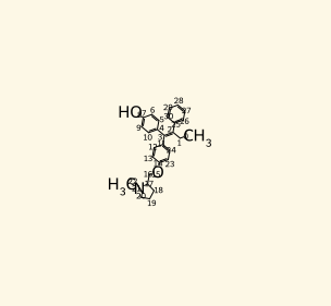 CC/C(=C(/c1ccc(O)cc1)c1ccc(OCC2CCCN2C)cc1)c1ccccc1